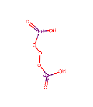 O=[PH](O)OOO[PH](=O)O